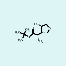 CC(C)(C)OC(=O)[C@@H](N)[C@H]1COC[C@@H]1O